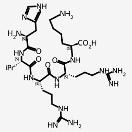 CC(C)[C@H](NC(=O)[C@@H](N)Cc1c[nH]cn1)C(=O)N[C@@H](CCCNC(=N)N)C(=O)N[C@@H](CCCNC(=N)N)C(=O)N[C@@H](CCCCN)C(=O)O